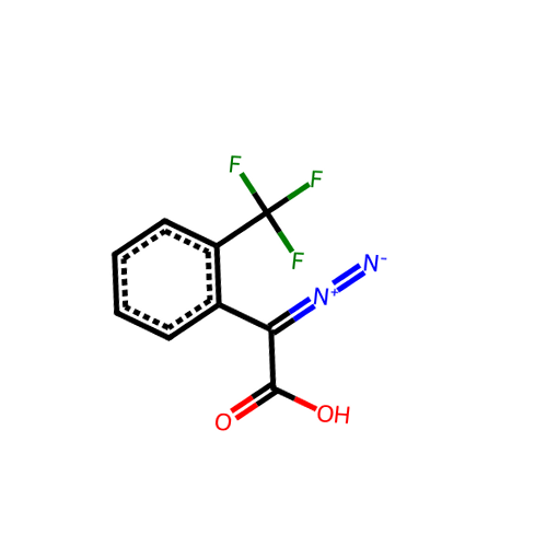 [N-]=[N+]=C(C(=O)O)c1ccccc1C(F)(F)F